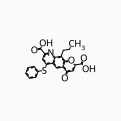 CCCc1c2nc(C(=O)O)cc(Sc3ccccc3)c2cc2c(=O)cc(C(=O)O)oc12